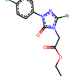 CCOC(=O)Cn1c(Br)nn(-c2ccc(Cl)cc2)c1=O